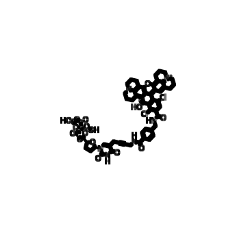 O=C(NCC#CCc1cn([C@H]2CC[C@@H](COP(OO)(OOO)(P(=O)=O)P(=O)=O)O2)c(=O)[nH]c1=O)c1ccc(CNC(=O)c2cc(Cl)c(C3=c4cc5c6c(c4Oc4c3cc3c7c4CCCN7CCC3)CCC[N+]=6CCC5)c(C(=O)O)c2Cl)cc1